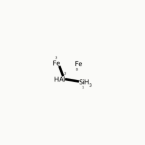 [Fe].[SiH3][AlH][Fe]